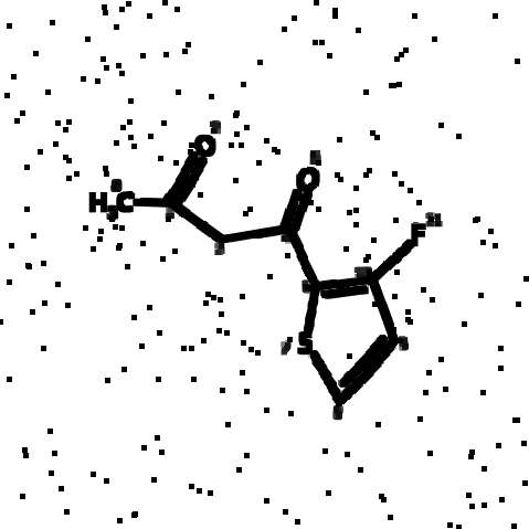 CC(=O)CC(=O)c1sccc1F